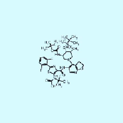 C[C@H]1CN(c2c(NC(=O)c3nc(-c4c(F)cccc4F)sc3N(C(=O)O)C(C)(C)C)cnc3c2CCO3)C[C@@H](NC(=O)OC(C)(C)C)[C@@H]1O[Si](C)(C)C(C)(C)C